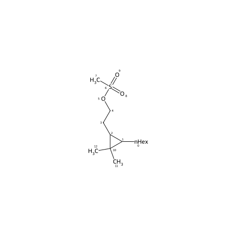 CCCCCCC1C(CCOS(C)(=O)=O)C1(C)C